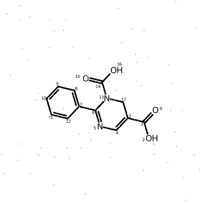 O=C(O)C1=CN=C(c2ccccc2)N(C(=O)O)C1